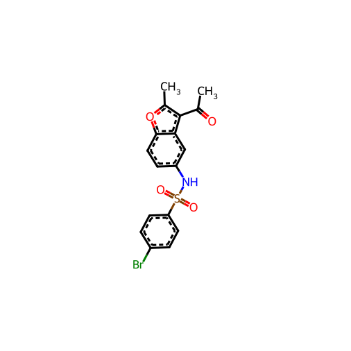 CC(=O)c1c(C)oc2ccc(NS(=O)(=O)c3ccc(Br)cc3)cc12